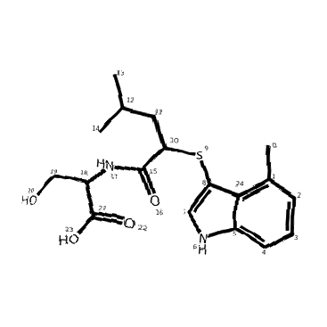 Cc1cccc2[nH]cc(SC(CC(C)C)C(=O)NC(CO)C(=O)O)c12